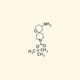 CC(C)(C)OC(=O)N1CCC2(CC1)CC(N)CCO2